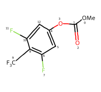 COC(=O)Oc1cc(F)c(C(F)(F)F)c(F)c1